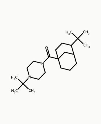 CC(C)(C)C1CCC2(C(=O)N3CCN(C(C)(C)C)CC3)CCCC1C2